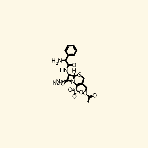 CC(=O)OCC1=C(P(=O)([O-])[O-])N2C(=O)[C@@H](NC(=O)C(N)c3ccccc3)[C@@H]2SC1.[Na+].[Na+]